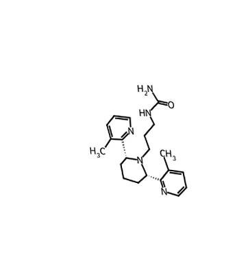 Cc1cccnc1[C@H]1CCC[C@@H](c2ncccc2C)N1CCCNC(N)=O